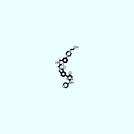 C[C@H](C(=O)N[C@H](C)c1cccc(N2CCN(CCO)CC2)c1)N1Cc2ccc(-c3nc(NC4CCOCC4)ncc3Cl)cc2C1=O